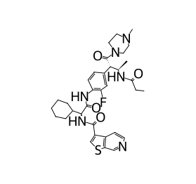 CCC(=O)N[C@H](C)[C@@H](C(=O)N1CCN(C)CC1)c1ccc(NC(=O)[C@@H](NC(=O)c2csc3cnccc23)C2CCCCC2)c(F)c1